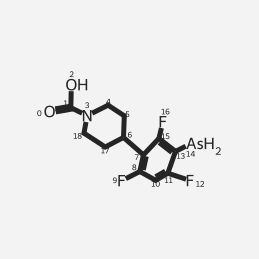 O=C(O)N1CCC(c2c(F)cc(F)c([AsH2])c2F)CC1